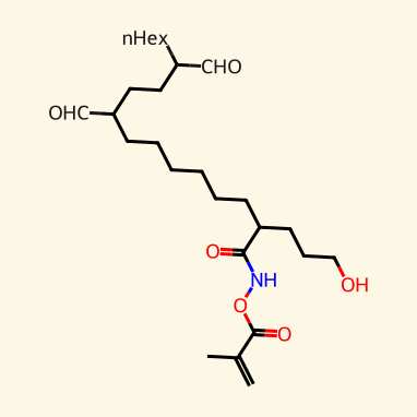 C=C(C)C(=O)ONC(=O)C(CCCO)CCCCCCC(C=O)CCC(C=O)CCCCCC